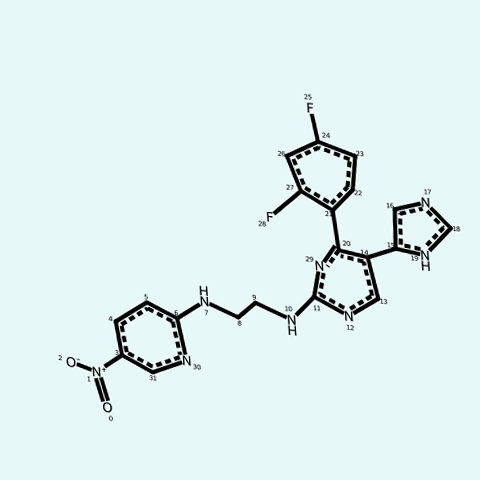 O=[N+]([O-])c1ccc(NCCNc2ncc(-c3cnc[nH]3)c(-c3ccc(F)cc3F)n2)nc1